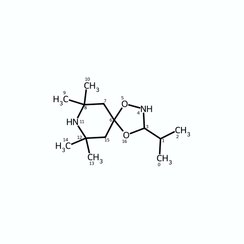 CC(C)C1NOC2(CC(C)(C)NC(C)(C)C2)O1